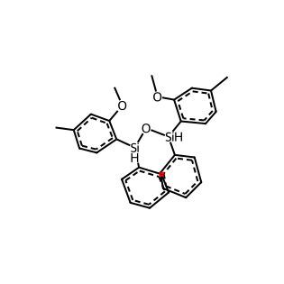 COc1cc(C)ccc1[SiH](O[SiH](c1ccccc1)c1ccc(C)cc1OC)c1ccccc1